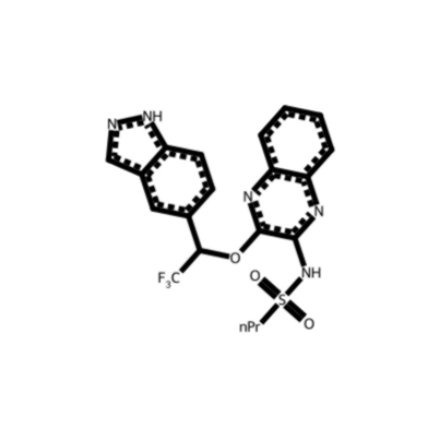 CCCS(=O)(=O)Nc1nc2ccccc2nc1OC(c1ccc2[nH]ncc2c1)C(F)(F)F